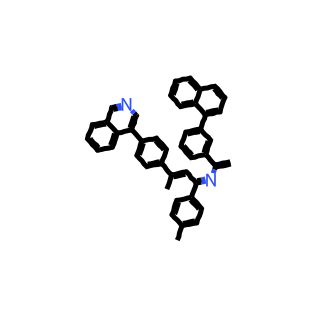 C=C(/N=C(\C=C(/C)c1ccc(-c2cncc3ccccc23)cc1)c1ccc(C)cc1)c1cccc(-c2cccc3ccccc23)c1